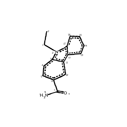 CCn1c2[c]cc(C(N)=O)cc2c2ccccc21